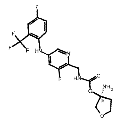 N[C@]1(OC(=O)NCc2ncc(Nc3ccc(F)cc3C(F)(F)F)cc2F)CCOC1